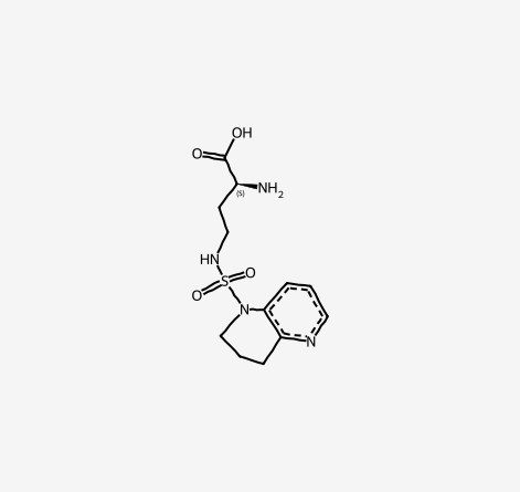 N[C@@H](CCNS(=O)(=O)N1CCCc2ncccc21)C(=O)O